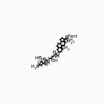 B[C@H]1CC(N[PH](=O)OCC(O)CNC(=O)OC2CCC3(C)C(=CCC4C3CCC3(C)C(C(C)CCCCC)CCC43)C2)[C@@H](CO)O1